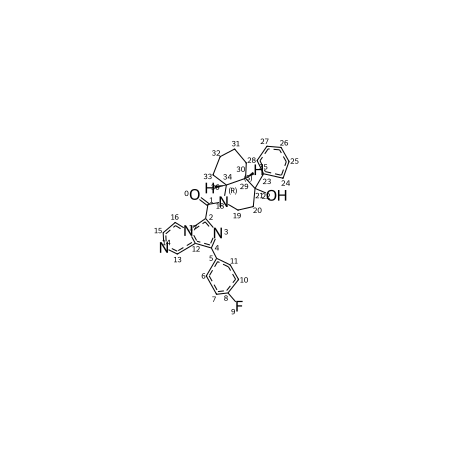 O=C(c1nc(-c2ccc(F)cc2)c2cnccn12)N1CCC(O)(c2ccccc2)[C@H]2CCCC[C@H]21